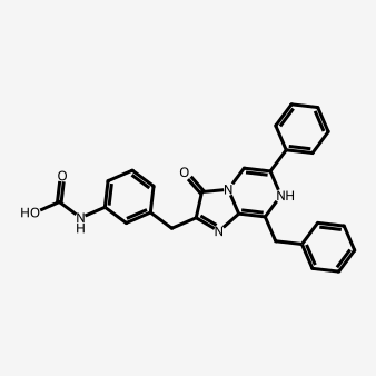 O=C(O)Nc1cccc(Cc2nc3c(Cc4ccccc4)[nH]c(-c4ccccc4)cn-3c2=O)c1